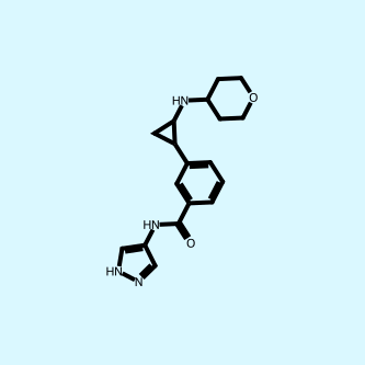 O=C(Nc1cn[nH]c1)c1cccc(C2CC2NC2CCOCC2)c1